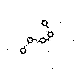 O=C(c1[c]ccc(OCc2ccccc2)c1)c1ccc(OCc2cccc(OCc3ccccc3)c2)cc1